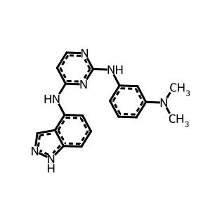 CN(C)c1cccc(Nc2nccc(Nc3cccc4[nH]ncc34)n2)c1